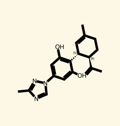 C=C(C)[C@@H]1CCC(C)=C[C@H]1c1c(O)cc(-n2cnc(C)n2)cc1O